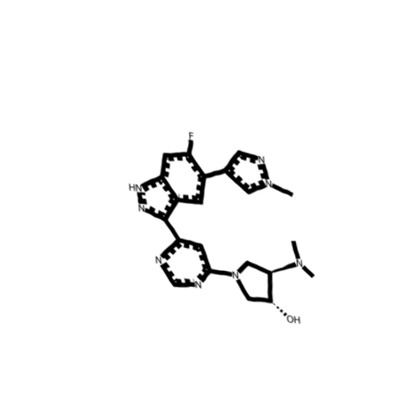 CN(C)[C@@H]1CN(c2cc(-c3n[nH]c4cc(F)c(-c5cnn(C)c5)cc34)ncn2)C[C@H]1O